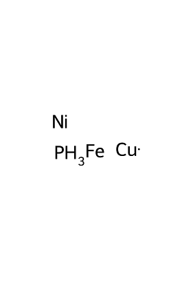 P.[Cu].[Fe].[Ni]